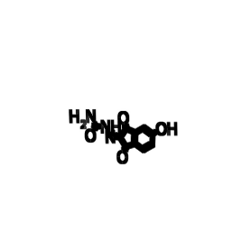 NC(=O)NN=c1c(=O)c2ccc(O)cc2c1=O